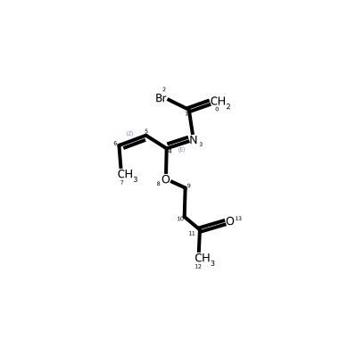 C=C(Br)/N=C(\C=C/C)OCCC(C)=O